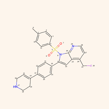 Cc1ccc(S(=O)(=O)n2c(-c3ccc(C4=CCNCC4)cc3)cc3c(CI)ccnc32)cc1